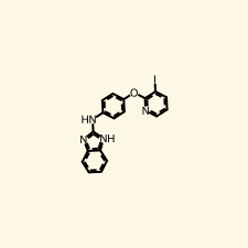 Ic1cccnc1Oc1ccc(Nc2nc3ccccc3[nH]2)cc1